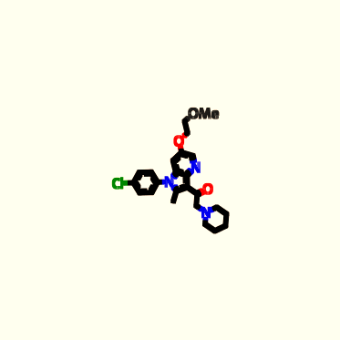 COCCOc1cnc2c(C(=O)CN3CCCCC3)c(C)n(-c3ccc(Cl)cc3)c2c1